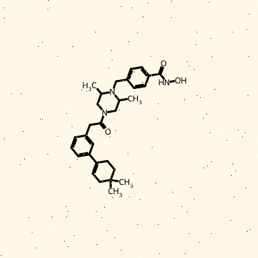 CC1CN(C(=O)Cc2cccc(C3=CCC(C)(C)CC3)c2)CC(C)N1Cc1ccc(C(=O)NO)cc1